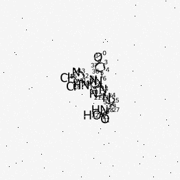 COc1ccc(Cn2nc(Nc3ccnc(Cl)c3Cl)c3ncc(N4CCC(C)(CNC(=O)O)C4)nc32)cc1